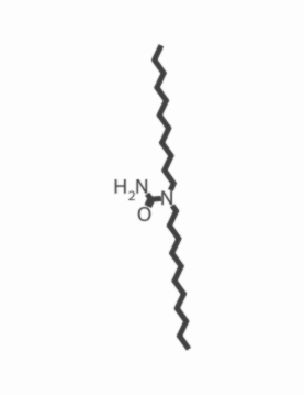 CCCCCCCCCCCN(CCCCCCCCCCC)C(N)=O